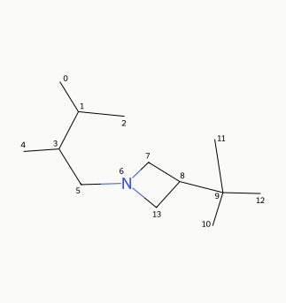 CC(C)C(C)CN1CC(C(C)(C)C)C1